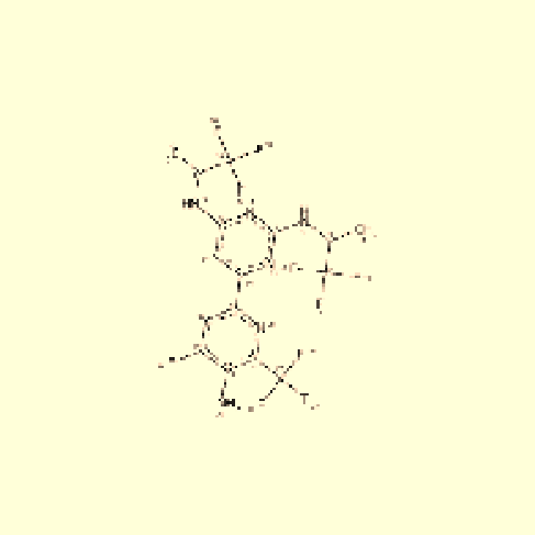 CC(Nc1nc(NC(C)C(F)(F)F)nc(-c2cc(F)c(N)c(C(F)(F)F)n2)n1)C(F)(F)F